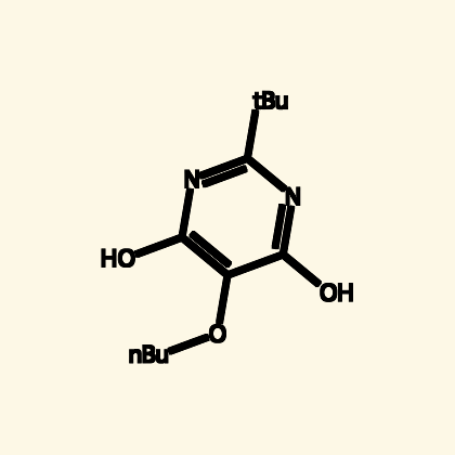 CCCCOc1c(O)nc(C(C)(C)C)nc1O